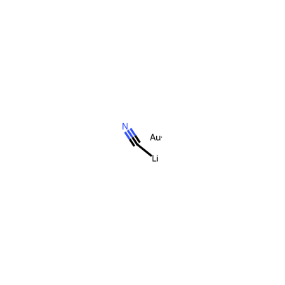 [Au].[Li][C]#N